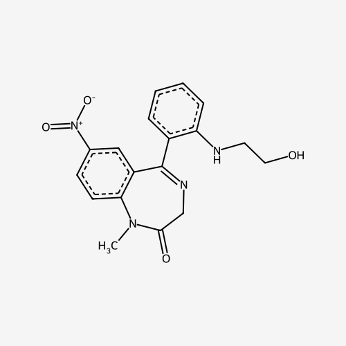 CN1C(=O)CN=C(c2ccccc2NCCO)c2cc([N+](=O)[O-])ccc21